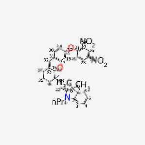 CCCN1c2ccccc2C(C)(C)C1/C=C/C1=C2Oc3cc(Oc4ccc([N+](=O)[O-])cc4[N+](=O)[O-])ccc3C=C2CCC1